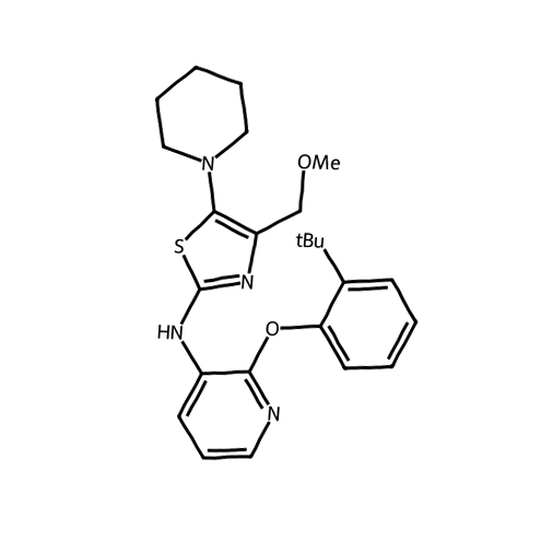 COCc1nc(Nc2cccnc2Oc2ccccc2C(C)(C)C)sc1N1CCCCC1